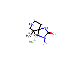 CCN1C(=O)NC2(CCNCC2(C)C)C1=O.Cl